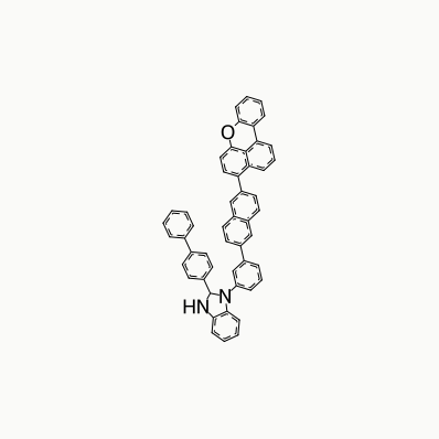 c1ccc(-c2ccc(C3Nc4ccccc4N3c3cccc(-c4ccc5cc(-c6ccc7c8c(cccc68)-c6ccccc6O7)ccc5c4)c3)cc2)cc1